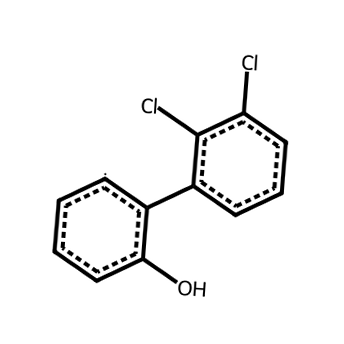 Oc1ccc[c]c1-c1cccc(Cl)c1Cl